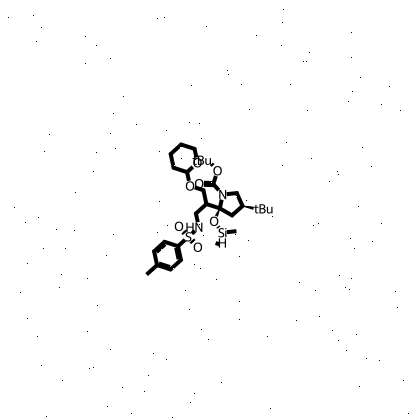 Cc1ccc(S(=O)(=O)NCC(COC2CCCCO2)[C@@]2(O[SiH](C)C)C[C@H](C(C)(C)C)CN2C(=O)OC(C)(C)C)cc1